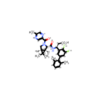 Cc1cnc(C(=O)N2C[C@H]3[C@@H]([C@H]2C(=O)N[C@@H](CC(=O)O)c2cc(-c4c(C)cccc4C)cc(F)c2F)C3(C)C)cn1